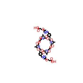 CC(C)C[C@H]1C(=O)O[C@H](Cc2ccc(Cn3cc(OCCC(=O)O)cn3)cc2)C(=O)N(C)[C@@H](CC(C)C)C(=O)O[C@H](C)C(=O)N(C)[C@@H](CC(C)C)C(=O)O[C@H](Cc2ccc(Cn3cc(OCCC(=O)O)cn3)cc2)C(=O)N(C)[C@@H](CC(C)C)C(=O)O[C@H](C)C(=O)N1C